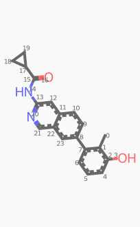 Cc1c(O)cccc1-c1ccc2cc(NC(=O)C3CC3)ncc2c1